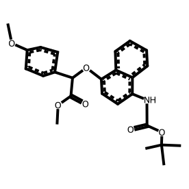 COC(=O)C(Oc1ccc(NC(=O)OC(C)(C)C)c2ccccc12)c1ccc(OC)cc1